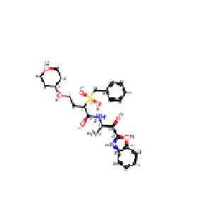 CCCC(NC(=O)C(CCOC1CCOCC1)S(=O)(=O)Cc1ccccc1)C(=O)c1nc2ccccc2o1